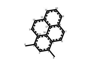 Cc1cc(C)c2ccc3cccc4ccc1c2c43